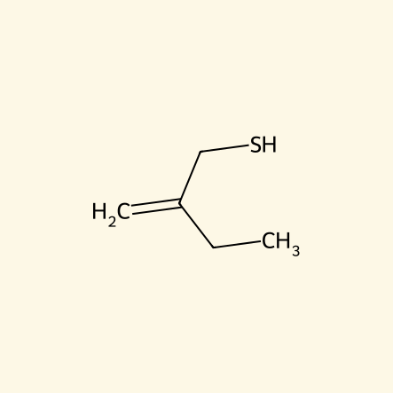 C=C(CC)CS